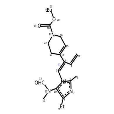 C=C/C(=C\n1c(C)nc(CC)c1N(C)C=O)C1=CCN(C(=O)OC(C)(C)C)CC1